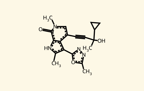 Cc1nnc(-c2c(C)[nH]c3c(=O)n(C)cc(C#CC(C)(O)C4CC4)c23)o1